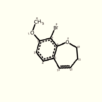 COc1ccc2c(c1Br)OCCC=C2